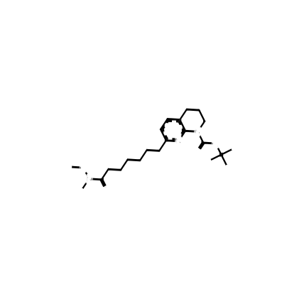 CON(C)C(=O)CCCCCCc1ccc2c(n1)N(C(=O)OC(C)(C)C)CCC2